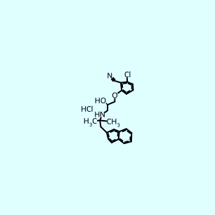 CC(C)(Cc1ccc2ccccc2c1)NC[C@@H](O)COc1cccc(Cl)c1C#N.Cl